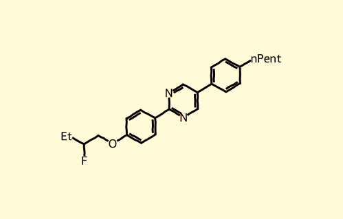 CCCCCc1ccc(-c2cnc(-c3ccc(OCC(F)CC)cc3)nc2)cc1